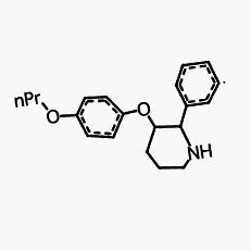 CCCOc1ccc(OC2CCCNC2c2c[c]ccc2)cc1